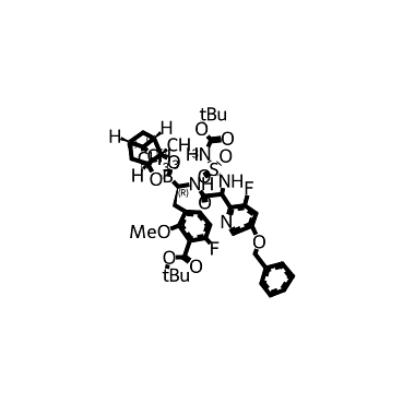 COc1c(C[C@H](NC(=O)C(NS(=O)(=O)NC(=O)OC(C)(C)C)c2ncc(OCc3ccccc3)cc2F)B2O[C@@H]3C[C@@H]4C[C@@H](C4(C)C)[C@]3(C)O2)ccc(F)c1C(=O)OC(C)(C)C